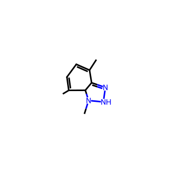 CC1=CC=C(C)C2C1=NNN2C